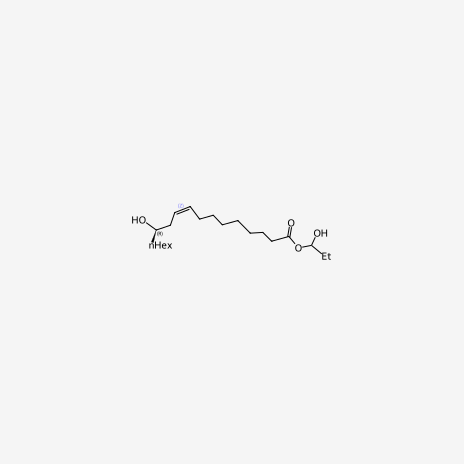 CCCCCC[C@@H](O)C/C=C\CCCCCCCC(=O)OC(O)CC